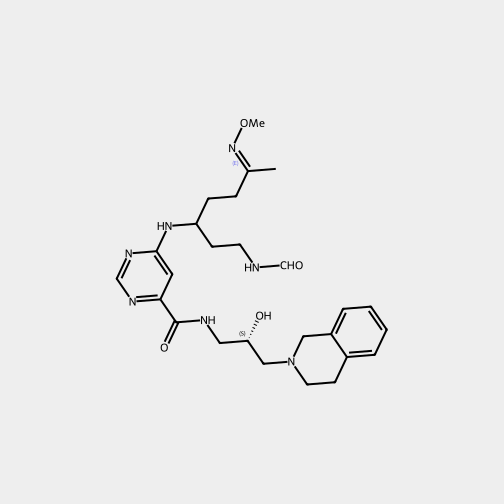 CO/N=C(\C)CCC(CCNC=O)Nc1cc(C(=O)NC[C@H](O)CN2CCc3ccccc3C2)ncn1